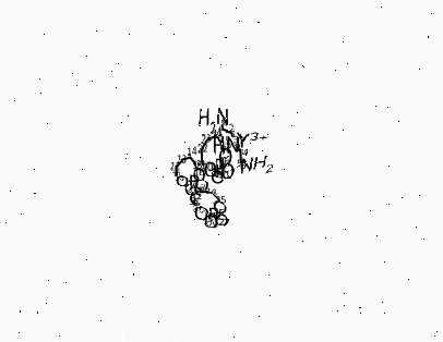 NCCNCCN.O=P1([O-])OCCCCCO1.O=P1([O-])OCCCCCO1.O=P1([O-])OCCCCCO1.[Y+3]